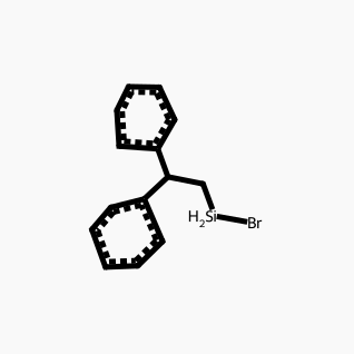 Br[SiH2]CC(c1ccccc1)c1ccccc1